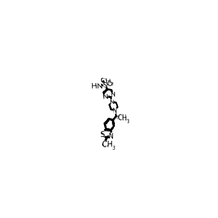 Cc1nc2cc([C@@H](C)N3CCN(c4ncc(S(C)(=N)=O)cn4)CC3)ccc2s1